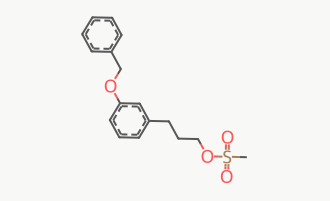 CS(=O)(=O)OCCCc1cccc(OCc2ccccc2)c1